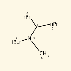 CCCC(CCC)N(C)C(C)CC